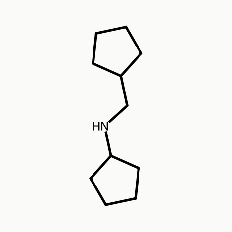 C1CCC(CNC2CCCC2)C1